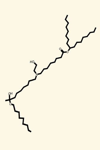 CCCCCCCCCOC(C)(O)CCCCCCCN(CCO)CCCCCCCC(=O)OC(CCCCCCCC)CCCCCCCC